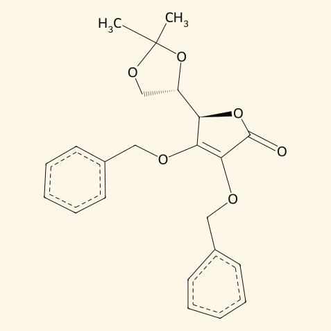 CC1(C)OC[C@@H]([C@H]2OC(=O)C(OCc3ccccc3)=C2OCc2ccccc2)O1